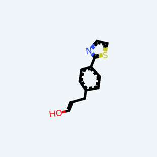 O/C=C/Cc1ccc(-c2nccs2)cc1